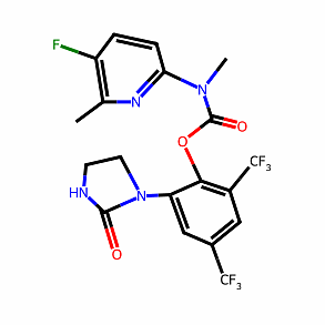 Cc1nc(N(C)C(=O)Oc2c(N3CCNC3=O)cc(C(F)(F)F)cc2C(F)(F)F)ccc1F